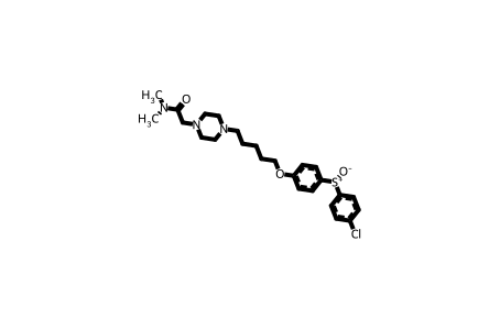 CN(C)C(=O)CN1CCN(CCCCCOc2ccc([S+]([O-])c3ccc(Cl)cc3)cc2)CC1